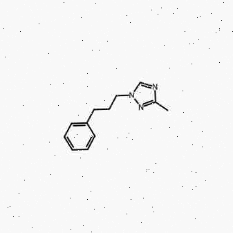 Cc1ncn(CCCc2ccccc2)n1